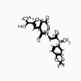 CC(O)c1cc2c(=O)n(CC(=O)N(C)c3ccc4c(c3)OC(F)(F)O4)nc(Cl)c2o1